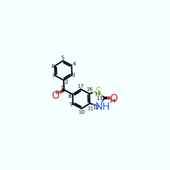 O=C(c1ccccc1)c1ccc2[nH]c(=O)sc2c1